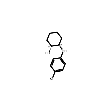 O[C@@H]1CCCC[C@H]1Nc1ccc(Cl)cc1